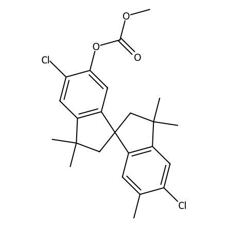 COC(=O)Oc1cc2c(cc1Cl)C(C)(C)CC21CC(C)(C)c2cc(Cl)c(C)cc21